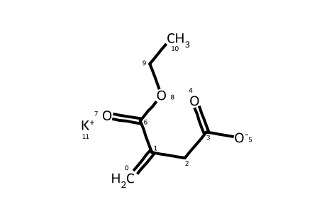 C=C(CC(=O)[O-])C(=O)OCC.[K+]